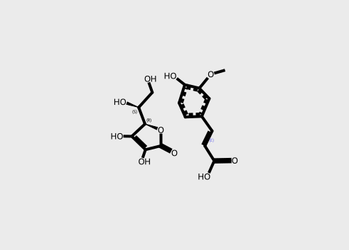 COc1cc(/C=C/C(=O)O)ccc1O.O=C1O[C@H]([C@@H](O)CO)C(O)=C1O